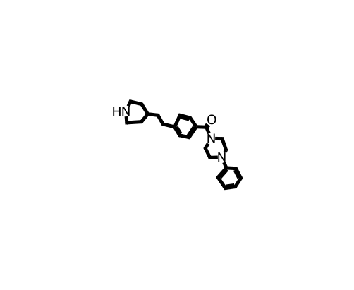 O=C(c1ccc(CCC2CCNCC2)cc1)N1CCN(c2ccccc2)CC1